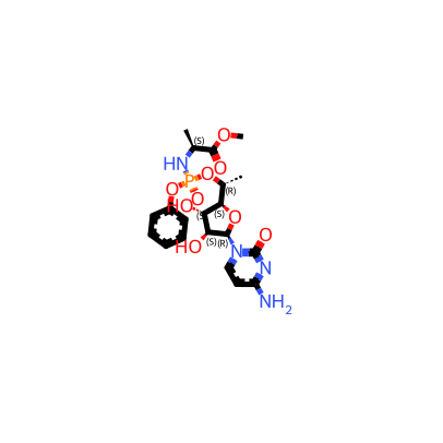 COC(=O)[C@H](C)NP(=O)(Oc1ccccc1)O[C@H](C)[C@H]1O[C@@H](n2ccc(N)nc2=O)[C@@H](O)[C@@H]1O